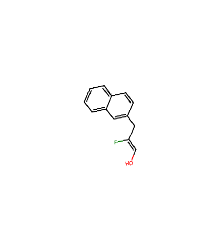 OC=C(F)Cc1ccc2ccccc2c1